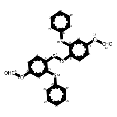 O=COc1ccc(SSc2ccc(OC=O)cc2Sc2ccccc2)c(Sc2ccccc2)c1